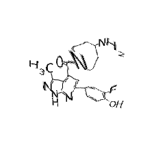 Cc1n[nH]c2nc(-c3ccc(O)c(F)c3)cc(C(=O)N3CCC(N)CC3)c12